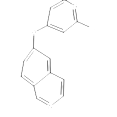 Clc1cc(Oc2ccc3cnccc3c2)ccn1